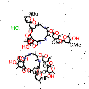 CC[C@H](C)[C@H]1O[C@]2(C=C[C@@H]1C)C[C@@H]1C[C@@H](C/C=C(\C)[C@@H](O[C@H]3C[C@H](OC)[C@@H](O[C@H]4C[C@H](OC)[C@@H](O)[C@H](C)O4)[C@H](C)O3)[C@@H](C)/C=C/C=C3\CO[C@@H]4[C@H](O)C(C)=C[C@@H](C(=O)O1)[C@]34O)O2.CO[C@H]1C[C@H](O[C@H]2[C@H](C)O[C@@H](O[C@@H]3/C(C)=C/C[C@@H]4C[C@@H](C[C@]5(C=C[C@H](C)[C@@H](C(C)C)O5)O4)OC(=O)[C@@H]4C=C(C)[C@@H](O)[C@H]5OC/C(=C\C=C\[C@@H]3C)[C@]54O)C[C@@H]2OC)O[C@@H](C)[C@@H]1O.Cl